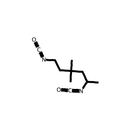 CC(CC(C)(C)CCN=C=O)N=C=O